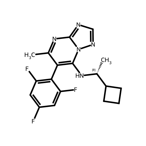 Cc1nc2ncnn2c(N[C@H](C)C2CCC2)c1-c1c(F)cc(F)cc1F